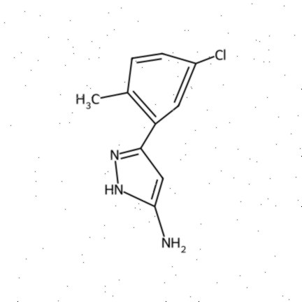 Cc1ccc(Cl)cc1-c1cc(N)[nH]n1